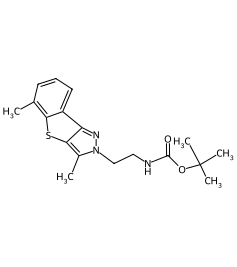 Cc1cccc2c1sc1c(C)n(CCNC(=O)OC(C)(C)C)nc12